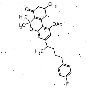 CC(=O)Oc1cc(C(C)CCCc2ccc(F)cc2)cc2c1C1=C(C(=O)CC(C)C1)C(C)(C)O2